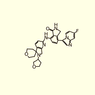 O=C1NCc2c(-c3cnc4cc(F)ccn34)ccc(Nc3ccc4c(n3)CN(C3CCOC3)C43CCOCC3)c21